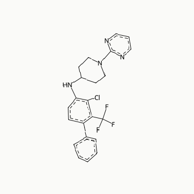 FC(F)(F)c1c(-c2ccccc2)ccc(NC2CCN(c3ncccn3)CC2)c1Cl